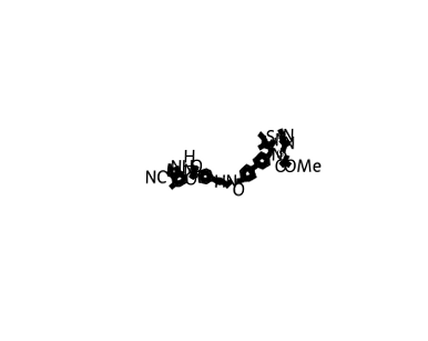 COC(=O)C[C@@H]1N=C(c2ccc(-c3ccc(C(=O)NCC#Cc4ccc(S(=O)(=O)Nc5ccc(C)c6c(C#N)c[nH]c56)cc4)cc3)cc2)c2c(sc(C)c2C)-n2c(C)nnc21